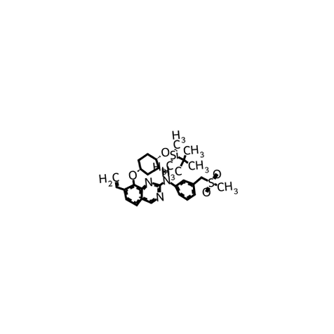 C=Cc1ccc2cnc(Nc3cccc(CS(C)(=O)=O)c3)nc2c1O[C@H]1CC[C@@H](O[Si](C)(C)C(C)(C)C)CC1